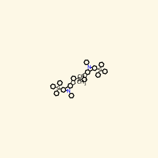 C[Si](C)(c1cccc2c1Cc1cc3c(cc1-2)c1cc([Si](c2ccccc2)(c2ccccc2)c2ccccc2)ccc1n3-c1ccccc1)c1cccc2c1Cc1cc3c(cc1-2)c1cc([Si](c2ccccc2)(c2ccccc2)c2ccccc2)ccc1n3-c1ccccc1